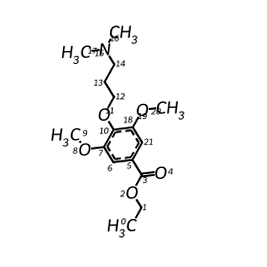 CCOC(=O)c1cc(OC)c(OCCCN(C)C)c(OC)c1